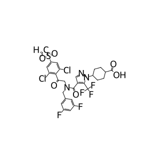 CS(=O)(=O)c1cc(Cl)c(C(=O)CN(Cc2cc(F)cc(F)c2)C(=O)c2cnn(C3CCC(C(=O)O)CC3)c2C(F)(F)F)c(Cl)c1